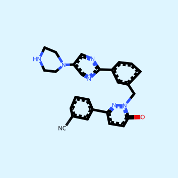 N#Cc1cccc(-c2ccc(=O)n(Cc3cccc(-c4ncc(N5CCNCC5)cn4)c3)n2)c1